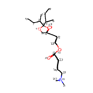 CCC(C)C1(C(C)CC)OCC(CCOC(=O)CCCN(C)C)O1